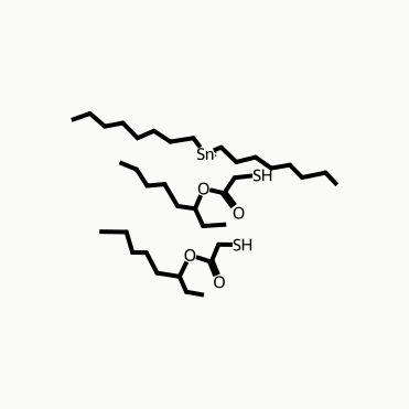 CCCCCC(CC)OC(=O)CS.CCCCCC(CC)OC(=O)CS.CCCCCCC[CH2][Sn][CH2]CCCCCCC